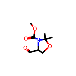 COC(=O)N1C(C=O)COC1(C)C